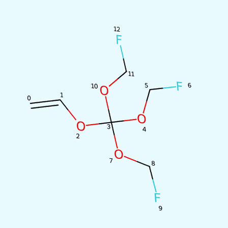 C=COC(OCF)(OCF)OCF